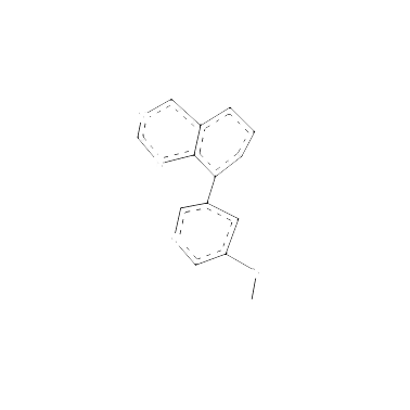 O=CNc1cncc(-c2cccc3cncnc23)c1